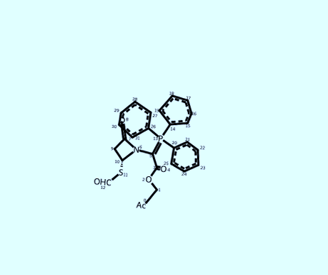 CC(=O)COC(=O)C(N1C(=O)C[C@H]1SC=O)=P(c1ccccc1)(c1ccccc1)c1ccccc1